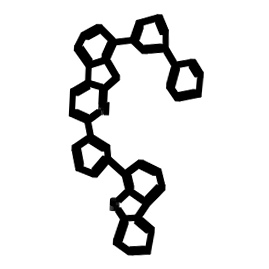 c1ccc(-c2cccc(-c3cccc4c3Cc3nc(-c5cccc(-c6cccc7c6sc6ccccc67)c5)ccc3-4)c2)cc1